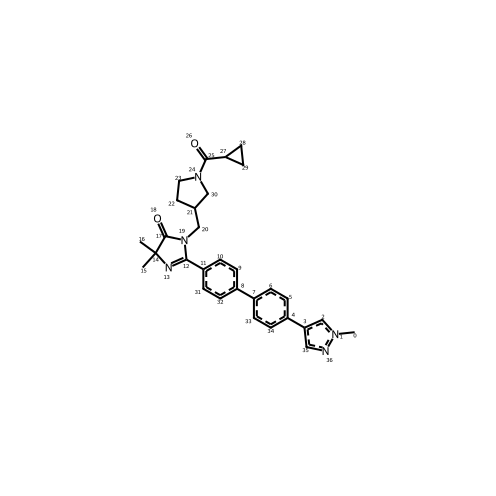 Cn1cc(-c2ccc(-c3ccc(C4=NC(C)(C)C(=O)N4CC4CCN(C(=O)C5CC5)C4)cc3)cc2)cn1